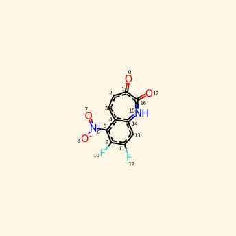 O=c1ccc2c([N+](=O)[O-])c(F)c(F)cc2[nH]c1=O